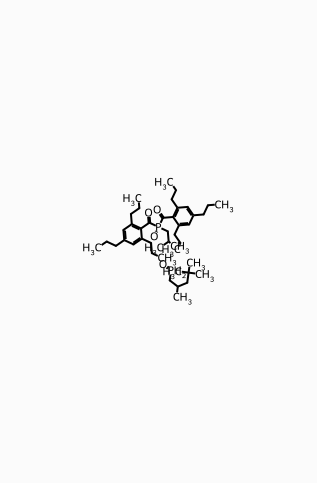 CC(C[PH2]=O)CC(C)(C)C.CCCc1cc(CCC)c(C(=O)P(=O)(CC(C)C)C(=O)c2c(CCC)cc(CCC)cc2CCC)c(CCC)c1